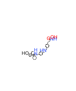 O=C(CCc1ccc(CNCc2ccc(CN[C@H](C(=O)O)C3(C4CCCC4)CCCCC3)cc2)cc1)NO